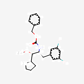 CCCCO[C@H]([C@@H]1BCCC1)[C@H](Cc1cc(F)cc(F)c1)NC(=O)OCc1ccccc1